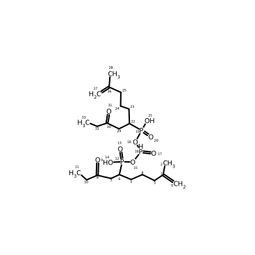 C=C(C)CCCC(CC(=O)CC)P(=O)(O)O[PH](=O)OP(=O)(O)C(CCCC(=C)C)CC(=O)CC